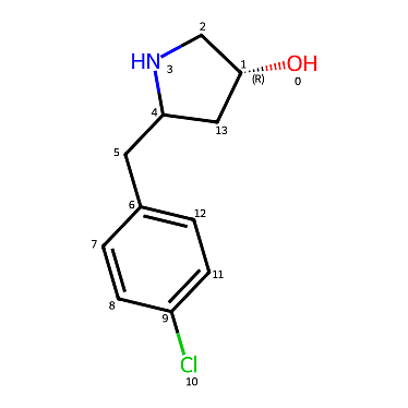 O[C@H]1CNC(Cc2ccc(Cl)cc2)C1